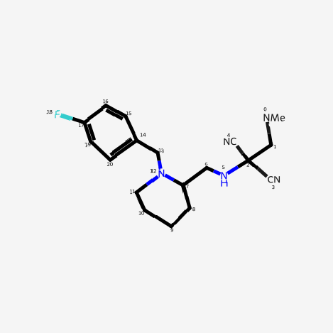 CNCC(C#N)(C#N)NCC1CCCCN1Cc1ccc(F)cc1